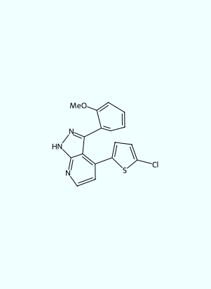 COc1ccccc1-c1n[nH]c2nccc(-c3ccc(Cl)s3)c12